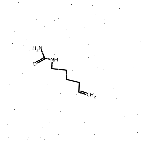 C=CCCCCNC(N)=O